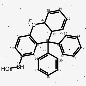 OBc1ccc2c(c1)C(c1ccccc1)(c1ccccc1)C1C=CC=CC1O2